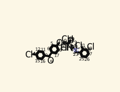 CC(C)(Oc1ccc(C(=O)c2ccc(Cl)cc2)cc1)C(=O)N/N=C/c1cccc(Cl)c1Cl